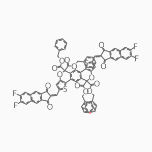 O=C1C(=Cc2cc3c(s2)-c2cc4c(cc2C(C(=O)OCc2ccccc2)(C(=O)OCc2ccccc2)O3)-c2sc(C=C3C(=O)c5cc6cc(F)c(F)cc6cc5C3=O)cc2OC4(C(=O)OCc2ccccc2)C(=O)OCc2ccccc2)C(=O)c2cc3cc(F)c(F)cc3cc21